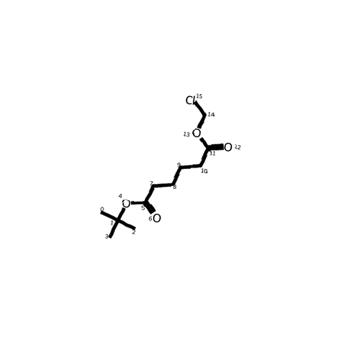 CC(C)(C)OC(=O)CCCCC(=O)OCCl